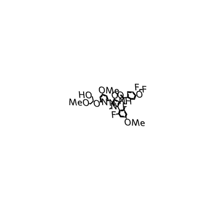 COCC(CO)Oc1cc(OC)cc(-n2c(=O)c(NC(=O)c3ccc(OC(F)F)cc3)c(-c3c(F)cc(OC)cc3F)n2C)n1